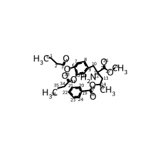 CCCC(=O)Oc1ccc(C[C@](N)(CC(C)OC(=O)c2ccccc2)C(=O)OC)cc1OC(=O)CCC